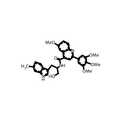 COc1ccc2nc(-c3cc(OC)c(OC)c(OC)c3)cc(C(=O)NC(CO)Cc3c[nH]c4cc(C)ccc34)c2c1